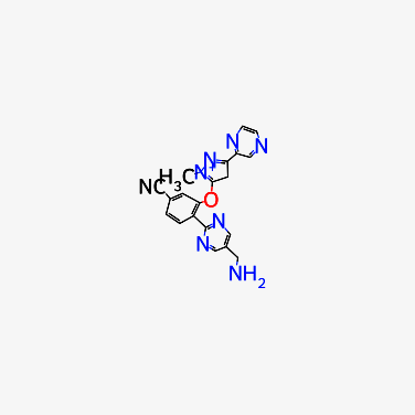 C[N+]1=C(Oc2cc(C#N)ccc2-c2ncc(CN)cn2)CC(c2cnccn2)=N1